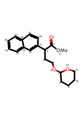 COC(=O)C(CCOC1CCCCO1)c1ccc2ccccc2c1